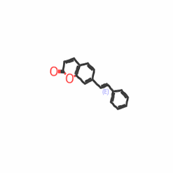 O=c1ccc2ccc(/C=C/c3ccccc3)cc2o1